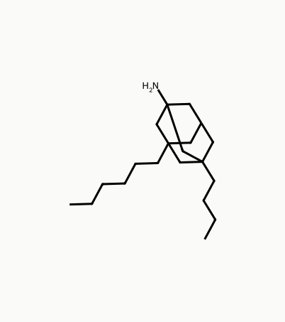 CCCCCCC12CC3CC(N)(CC(CCCC)(C3)C1)C2